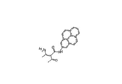 CC(=O)/C(C(=O)Nc1cc2ccc3cccc4ccc(c1)c2c34)=C(\C)N